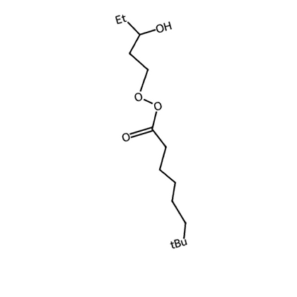 CCC(O)CCOOC(=O)CCCCCC(C)(C)C